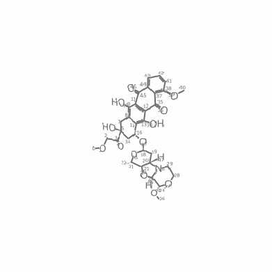 COCC(=O)[C@]1(O)Cc2c(O)c3c(c(O)c2[C@@H](O[C@H]2C[C@H]4C(O[C@@H]5[C@@H](OC)OCCN54)[C@H](C)O2)C1)C(=O)c1c(OC)cccc1C3=O